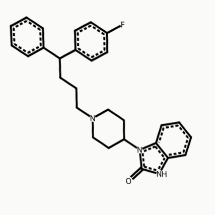 O=c1[nH]c2ccccc2n1C1CCN(CCCC(c2ccccc2)c2ccc(F)cc2)CC1